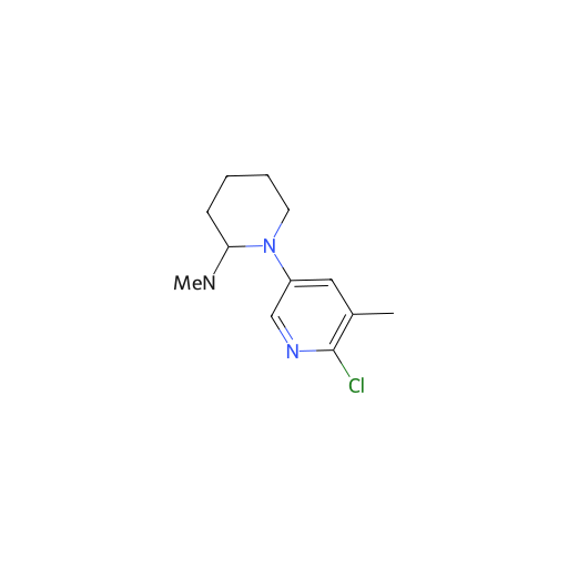 CNC1CCCCN1c1cnc(Cl)c(C)c1